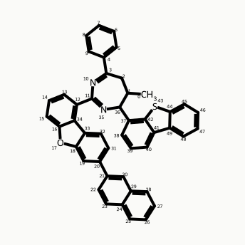 CC1CC(c2ccccc2)=NC(c2cccc3oc4cc(-c5ccc6ccccc6c5)ccc4c23)=NC1c1cccc2c1sc1ccccc12